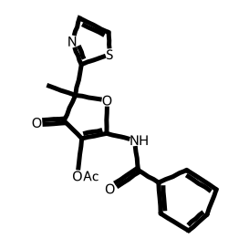 CC(=O)OC1=C(NC(=O)c2ccccc2)OC(C)(c2nccs2)C1=O